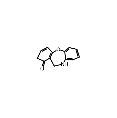 O=C1CC=CC2=C1CNc1ccccc1O2